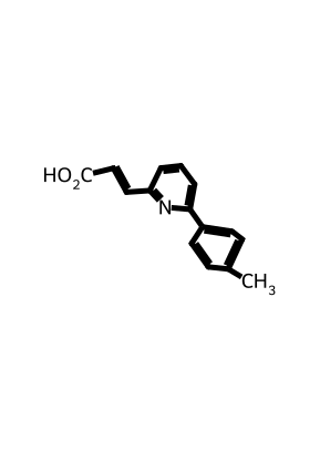 Cc1ccc(-c2cccc(/C=C/C(=O)O)n2)cc1